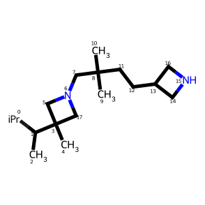 CC(C)C(C)C1(C)CN(CC(C)(C)CCC2CNC2)C1